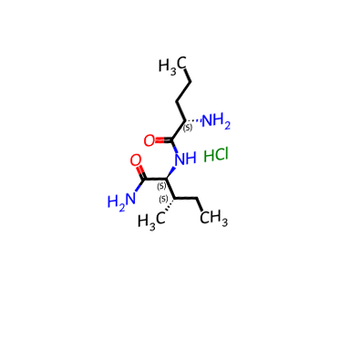 CCC[C@H](N)C(=O)N[C@H](C(N)=O)[C@@H](C)CC.Cl